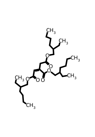 CCCCC(CC)COC(=O)C=C(CC(=O)OCC(CC)CCCC)C(=O)OCC(CC)CCCC